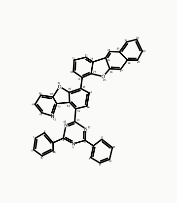 c1ccc(-c2nc(-c3ccccc3)nc(-c3ccc(-c4cccc5c4oc4cc6ccccc6cc45)c4oc5cccnc5c34)n2)cc1